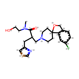 CN(CCO)C(=O)C(Cc1cscn1)CN1CCC2(CC1)OCc1ccc(F)cc12